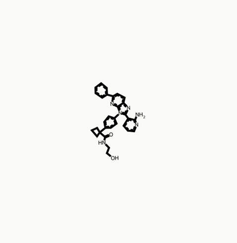 Nc1ncccc1-c1nc2ccc(-c3ccccc3)nc2n1-c1ccc(C2(C(=O)NCCO)CCC2)cc1